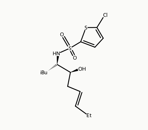 CC/C=C/C[C@H](O)[C@H](NS(=O)(=O)c1ccc(Cl)s1)[C@@H](C)CC